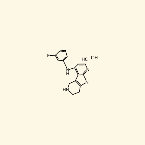 Cl.Cl.Fc1cccc(Nc2ccnc3[nH]c4c(c23)CNCC4)c1